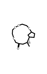 CC1CC(=O)CCCCCCCCCC2CC[C@@H]1C2